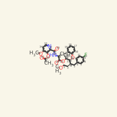 COCC[C@H](Cc1ccc(F)cc1)[C@@H](Oc1ccccc1)[C@H](C)OC(=O)[C@H](C)NC(=O)c1nccc(OC)c1OC(C)=O